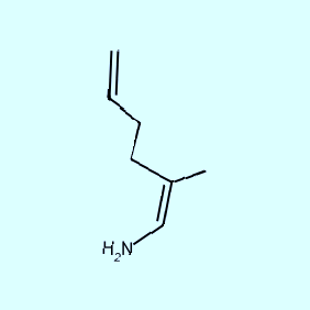 C=CCC/C(C)=C\N